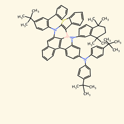 CC(C)(C)c1ccc(N(c2ccc(C(C)(C)C)cc2)c2ccc3c(c2)N(c2ccc4c(c2)C(C)(C)CCC4(C)C)B2c4c(cc5ccccc5c4-3)N(c3ccc(C(C)(C)C)cc3-c3ccccc3)c3sc4ccccc4c32)cc1